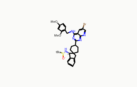 COc1ccc(CNc2nc(C3CCC4(CC3)Cc3ccccc3[C@H]4N[S+]([O-])C(C)(C)C)nc3ncc(Br)cc23)c(OC)c1